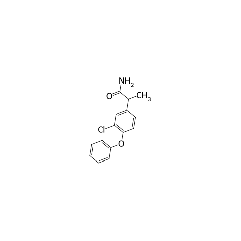 CC(C(N)=O)c1ccc(Oc2ccccc2)c(Cl)c1